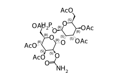 CC(=O)OC[C@@H]1O[C@H](OP)[C@@H](O[C@H]2O[C@H](COC(C)=O)[C@@H](OC(C)=O)[C@H](OC(C)=O)[C@@H]2OC(N)=O)[C@@H](OC(C)=O)[C@@H]1OC(C)=O